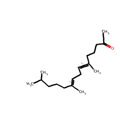 CC(=O)CCC/C(C)=C/C/C=C(\C)CCCC(C)C